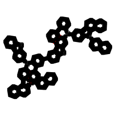 c1ccc(-c2ccccc2N(c2ccc3c(c2)oc2ccc(-c4ccc(N(c5ccc6c(c5)oc5ccccc56)c5ccc6c7c8ccccc8ccc7n(-c7ccc8ccccc8c7)c6c5)c(-c5ccccc5)c4)cc23)c2ccc3c(c2)c2ccc4ccccc4c2n3-c2ccc3ccccc3c2)cc1